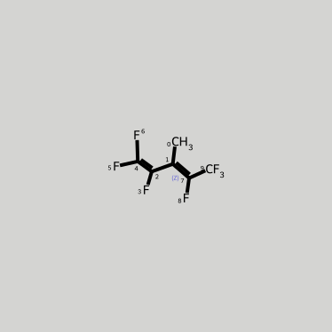 C/C(C(F)=C(F)F)=C(/F)C(F)(F)F